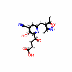 Cc1noc(C)c1Cc1cc(C#N)c(O)c(C(=O)CCC(=O)O)n1